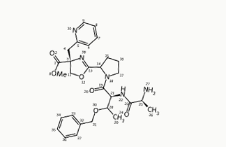 COC(=O)[C@@]1(Cc2ccccn2)COC(C2CCCN2C(=O)[C@@H](NC(=O)[C@H](C)N)C(C)OCc2ccccc2)=N1